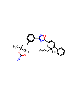 COCC1(C)CC(c2nc(-c3cccc(CCC(C)(C)OC(N)=O)c3)no2)=CC=C1c1ccccc1